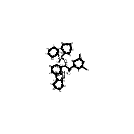 Cc1cc(C)cc(C(=O)[C@@H](O[Si](C)(c2ccccc2)c2ccccc2)c2cccc3c2[nH]c2ccccc23)c1